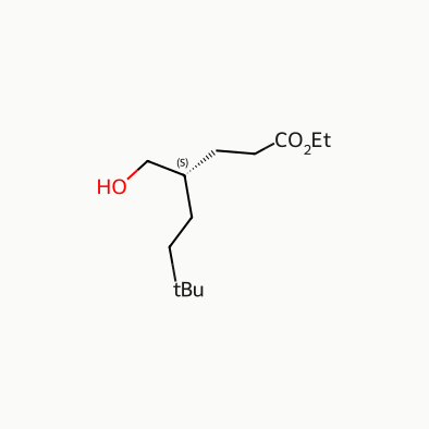 CCOC(=O)CC[C@@H](CO)CCC(C)(C)C